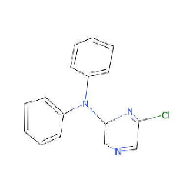 Clc1cncc(N(c2ccccc2)c2ccccc2)n1